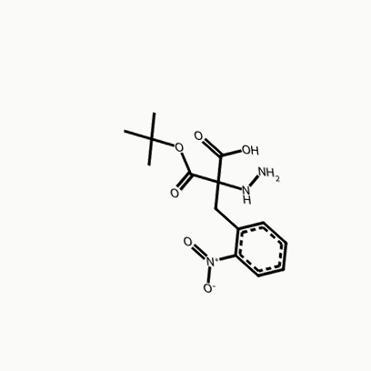 CC(C)(C)OC(=O)C(Cc1ccccc1[N+](=O)[O-])(NN)C(=O)O